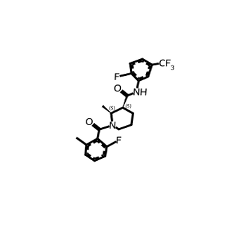 Cc1cccc(F)c1C(=O)N1CCC[C@H](C(=O)Nc2cc(C(F)(F)F)ccc2F)[C@@H]1C